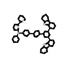 c1ccc(-c2cccc(N(c3ccccc3)c3ccc(-c4ccc(-c5cc(-c6cccc7c6oc6ccccc67)cc(-c6cccc7c6oc6ccccc67)c5)cc4)cc3)c2)cc1